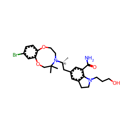 C[C@H](Cc1cc2c(c(C(N)=O)c1)N(CCCO)CC2)N1CCOc2ccc(Br)cc2OCC1(C)C